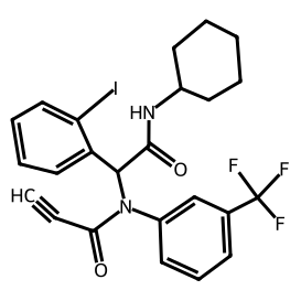 C#CC(=O)N(c1cccc(C(F)(F)F)c1)C(C(=O)NC1CCCCC1)c1ccccc1I